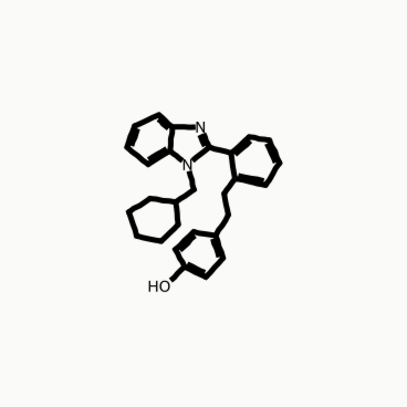 Oc1ccc(CCc2ccccc2-c2nc3ccccc3n2CC2CCCCC2)cc1